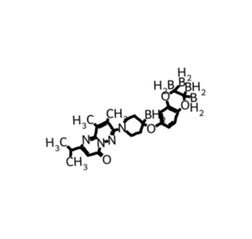 BC1(Oc2ccc3c(c2)OC(B)(B)C(B)(B)O3)CCN(c2nn3c(=O)cc(C(C)C)nc3c(C)c2C)CC1